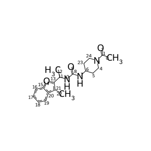 CC(=O)N1CCC(NC(=O)NC(C)c2oc3ccccc3c2C)CC1